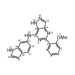 COc1ccccc1-c1nc(Nc2ccc3cn[nH]c3c2)c2[nH]ncc2n1